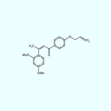 C=CCOc1ccc(C(=O)/C=C(/C)c2ccc(OC)cc2OC)cc1